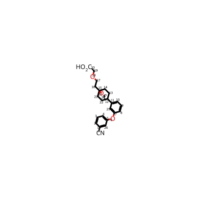 N#Cc1cccc(Oc2cccc(C34CCC(CCOCC(=O)O)(CC3)OC4)c2)c1